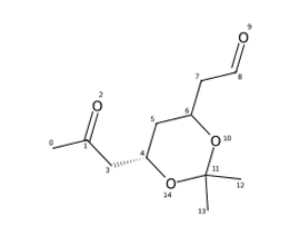 CC(=O)C[C@@H]1CC(CC=O)OC(C)(C)O1